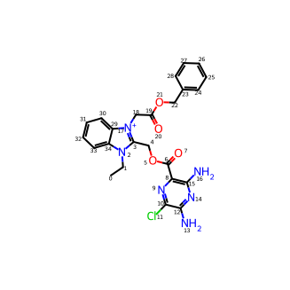 CCn1c(COC(=O)c2nc(Cl)c(N)nc2N)[n+](CC(=O)OCc2ccccc2)c2ccccc21